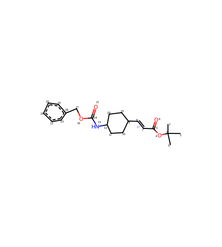 CC(C)(C)OC(=O)/C=C/C1CCC(NC(=O)OCc2ccccc2)CC1